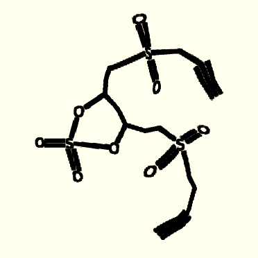 C#CCS(=O)(=O)CC1OS(=O)(=O)OC1CS(=O)(=O)CC#C